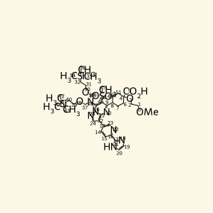 COCCOC1(C(=O)O)CCC(c2nc3c(-c4ccc(-c5ncc[nH]5)nc4)cnn3c(N(COCC[Si](C)(C)C)COCC[Si](C)(C)C)c2S(C)(=O)=O)CC1